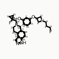 COc1cc(OC2CN(CCCF)C2)ccc1[C@@H]1c2ccc3[nH]ncc3c2CCN1CC1(F)CC1